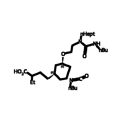 CCCCCCCN(CCO[C@@H]1CCC[C@H](CCC(CC)C(=O)O)C1)C(=O)NCCCC.CCCCN=C=O